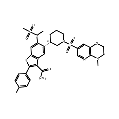 CNC(=O)c1c(-c2ccc(F)cc2)oc2cc(N(C)S(C)(=O)=O)c([C@@H]3CCCN(S(=O)(=O)c4cnc5c(c4)OCCN5C)C3)cc12